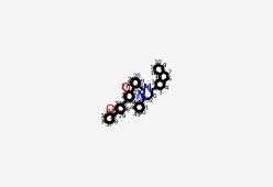 C1=C(c2ccc3ccc4ccccc4c3c2)N=C(c2cccc3oc4cc(-c5ccc6c(c5)oc5ccccc56)ccc4c23)N=C(c2ccccc2)C1